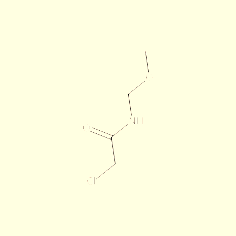 COCNC(=O)CCl